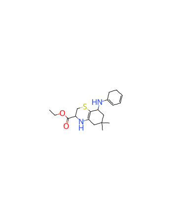 CCOC(=O)C1CSC2=C(CC(C)(C)CC2NC2=CC=CCC2)N1